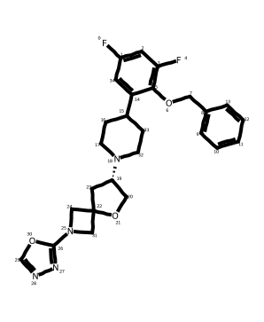 Fc1cc(F)c(OCc2ccccc2)c(C2CCN([C@@H]3COC4(C3)CN(c3nnco3)C4)CC2)c1